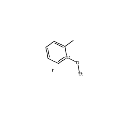 CCO[n+]1ccccc1C.[I-]